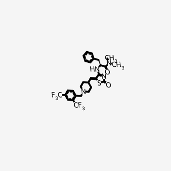 CN(C)C(=O)[C@H](Cc1ccccc1)NC1=NC(=O)S/C1=C\C1CCN(Cc2ccc(C(F)(F)F)cc2C(F)(F)F)CC1